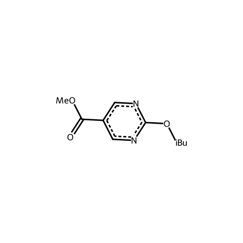 CCC(C)Oc1ncc(C(=O)OC)cn1